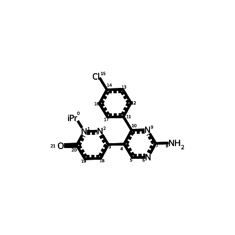 CC(C)n1nc(-c2cnc(N)nc2-c2ccc(Cl)cc2)ccc1=O